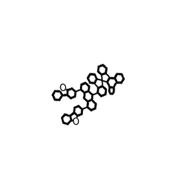 c1ccc2c(c1)-c1c(-c3c4cccc(-c5ccc6c(c5)oc5ccccc56)c4cc4c(-c5ccc6c(c5)oc5ccccc56)cccc34)cccc1C21c2ccccc2-c2c1c1ccccc1c1ccccc21